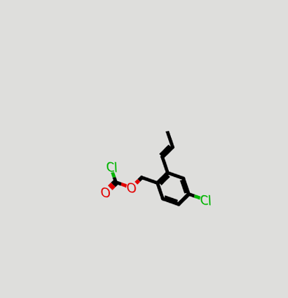 CC=Cc1cc(Cl)ccc1COC(=O)Cl